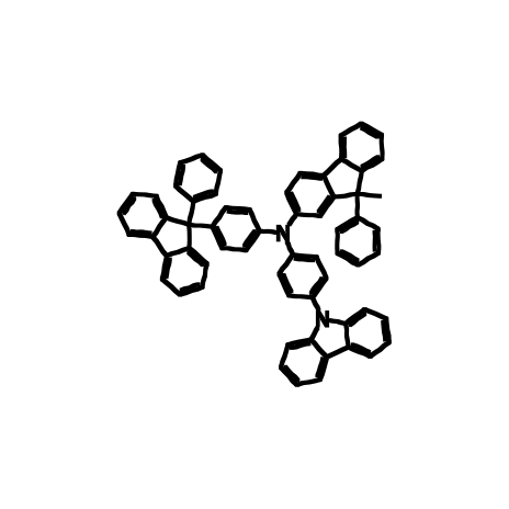 CC1(c2ccccc2)c2ccccc2-c2ccc(N(c3ccc(-n4c5ccccc5c5ccccc54)cc3)c3ccc(C4(c5ccccc5)c5ccccc5-c5ccccc54)cc3)cc21